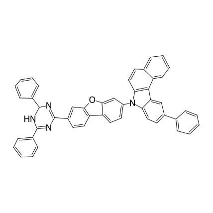 c1ccc(C2=NC(c3ccc4c(c3)oc3cc(-n5c6ccc(-c7ccccc7)cc6c6c7ccccc7ccc65)ccc34)=NC(c3ccccc3)N2)cc1